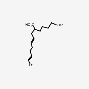 CCC=CCCC=CCC(CCCCCCCCCCCCCC)C(=O)O